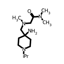 CC(C)N1CCC(N)(CN(C)CC(=O)N(C)C)CC1